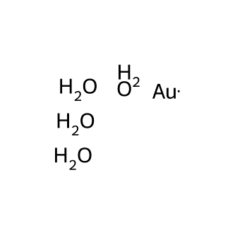 O.O.O.O.[Au]